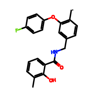 [CH2]c1ccc(CNC(=O)c2cccc(C)c2O)cc1Oc1ccc(F)cc1